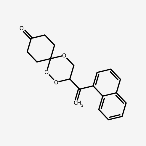 C=C(c1cccc2ccccc12)C1COC2(CCC(=O)CC2)OO1